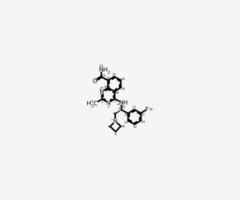 Cc1nc(N[C@H](CN2CCC2)c2cccc(F)c2)c2cccc(C(N)=O)c2n1